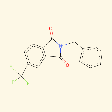 O=C1c2ccc(C(F)(F)F)cc2C(=O)N1Cc1ccccc1